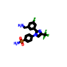 NCc1cc(F)cc(-c2nc(C(F)(F)F)cn2-c2ccc(S(N)(=O)=O)cc2)c1